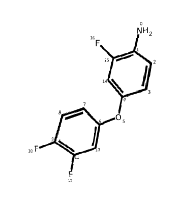 Nc1ccc(Oc2ccc(F)c(F)c2)cc1F